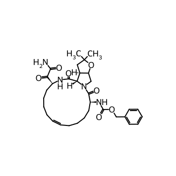 CC1(C)C[C@H]2C(CN3C(=O)[C@@H](NC(=O)OCc4ccccc4)CCCCC=CCCCC[C@@H](C(=O)C(N)=O)NC(=O)[C@H]23)O1